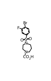 O=C(O)N1CCCN(S(=O)(=O)c2ccc(Br)c(F)c2)CC1